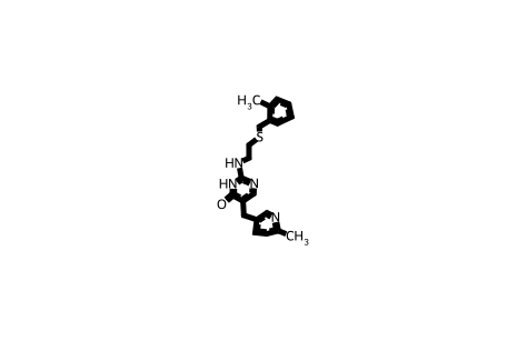 Cc1ccc(Cc2cnc(NCCSCc3ccccc3C)[nH]c2=O)cn1